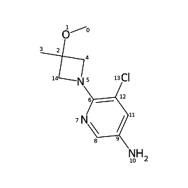 COC1(C)CN(c2ncc(N)cc2Cl)C1